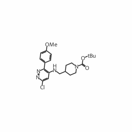 COc1ccc(-c2nnc(Cl)cc2NCC2CCN(C(=O)OC(C)(C)C)CC2)cc1